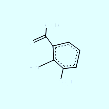 CCOC(=O)C(=O)c1cccc(C(=O)O)c1N